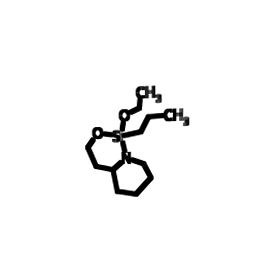 CCC[Si]1(OCC)OCCC2CCCCN21